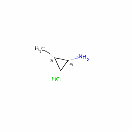 C[C@H]1C[C@H]1N.Cl